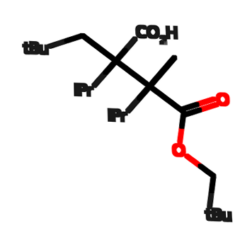 CC(C)C(C)(C(=O)OCC(C)(C)C)C(CC(C)(C)C)(C(=O)O)C(C)C